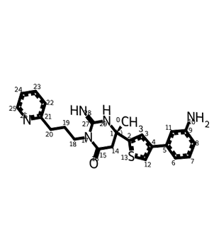 C[C@@]1(c2cc(-c3cccc(N)c3)cs2)CC(=O)N(CCCc2ccccn2)C(=N)N1